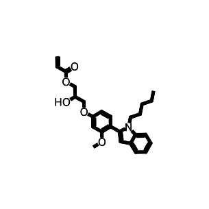 C=CC(=O)OCC(O)COc1ccc(-c2cc3ccccc3n2CCCCC)c(OC)c1